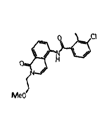 COCCn1ccc2c(NC(=O)c3cccc(Cl)c3C)cccc2c1=O